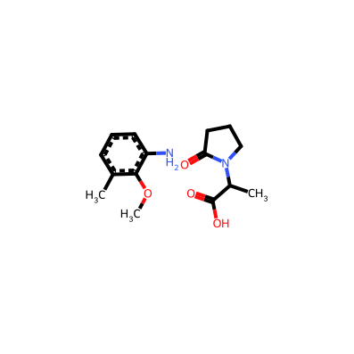 CC(C(=O)O)N1CCCC1=O.COc1c(C)cccc1N